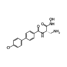 NC[C@H](NC(=O)c1ccc(-c2ccc(Cl)cc2)cc1)C(=O)NO